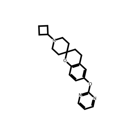 c1cnc(Oc2ccc3c(c2)CCC2(CCN(C4CCC4)CC2)O3)nc1